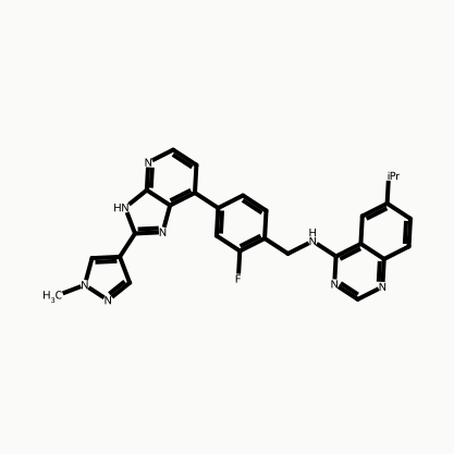 CC(C)c1ccc2ncnc(NCc3ccc(-c4ccnc5[nH]c(-c6cnn(C)c6)nc45)cc3F)c2c1